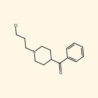 O=C(c1ccccc1)C1CCN(CCCCl)CC1